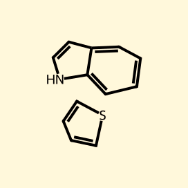 c1ccc2[nH]ccc2c1.c1ccsc1